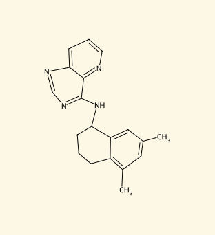 Cc1cc(C)c2c(c1)C(Nc1ncnc3cccnc13)CCC2